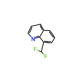 FC(F)c1cccc2cccnc12